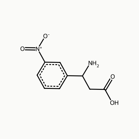 NC(CC(=O)O)c1cccc([N+](=O)[O-])c1